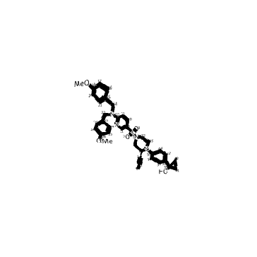 CC#C[C@H]1CN(S(=O)(=O)c2ccc(N(Cc3ccc(OC)cc3)Cc3ccc(OC)cc3)nc2)CCN1c1ccc(C2(O)CC2)cc1